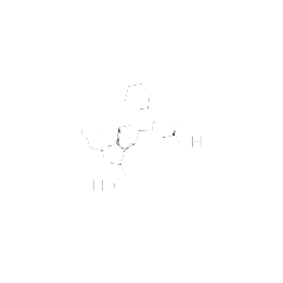 CCC1OC(CC)C2C3OC(CC3C(CC(=O)O)OC3CCCCO3)C12